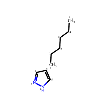 CCCCCC.c1cn[nH]c1